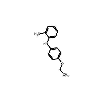 CCOc1ccc(Nc2ccccc2N)cc1